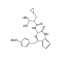 CCCCC(O)C(CC1CC1)C(=O)NC1N=C(Cc2ccc(OC)cc2)c2ccccc2NC1=O